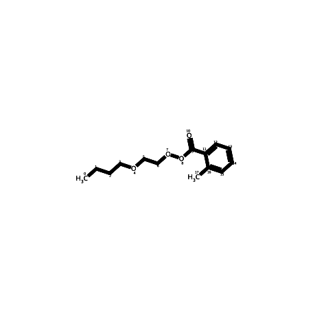 CCCCOC[CH]OOC(=O)c1ccccc1C